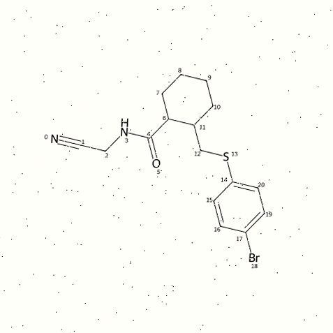 N#CCNC(=O)C1CCCCC1CSc1ccc(Br)cc1